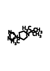 CC(C)(C)N1CCC(C)(n2cnnc2)CC1